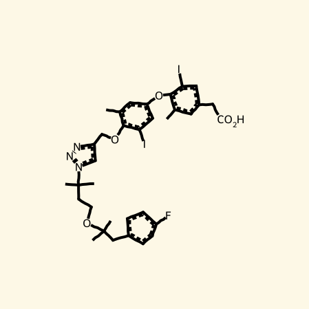 Cc1cc(Oc2c(C)cc(CC(=O)O)cc2I)cc(I)c1OCc1cn(C(C)(C)CCOC(C)(C)Cc2ccc(F)cc2)nn1